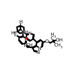 Cc1ccc(F)c(NC2[C@@H]3C[C@H]2CN(c2ccc(-c4cc(OCC(C)(C)O)cn5ncc(C#N)c45)cn2)C3)n1